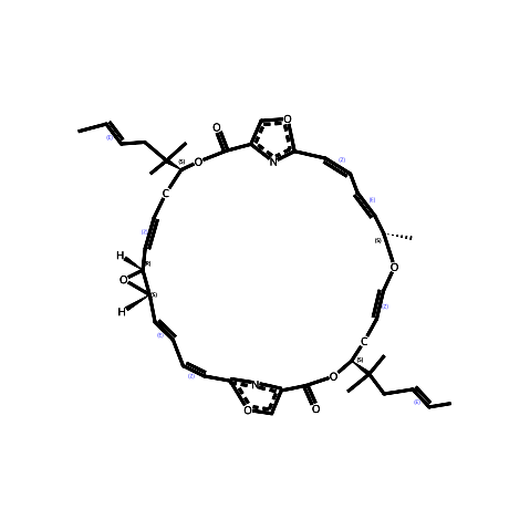 C/C=C/CC(C)(C)[C@@H]1C/C=C\O[C@@H](C)/C=C/C=C\c2nc(co2)C(=O)O[C@H](C(C)(C)C/C=C/C)C/C=C\[C@H]2O[C@H]2/C=C/C=C\c2nc(co2)C(=O)O1